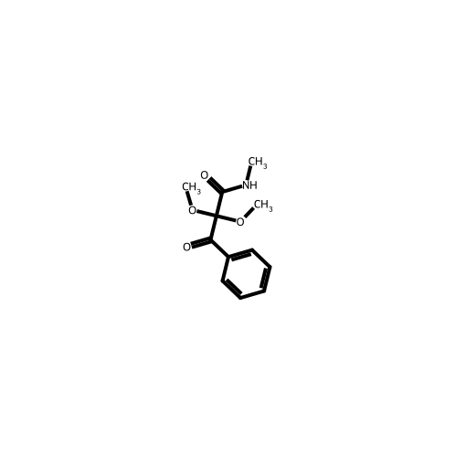 CNC(=O)C(OC)(OC)C(=O)c1ccccc1